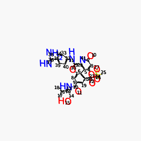 COc1ccc(-c2ccc(C(=O)N[C@H](CO)C(C)C)cc2C(=O)OS(C)(=O)=O)c(C(=O)Nc2ccc(C(=N)N)cc2)n1